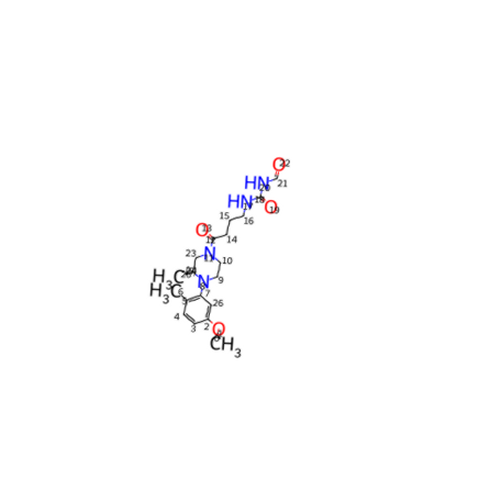 COc1ccc(C)c(N2CCN(C(=O)CCCNC(=O)NC=O)C[C@@H]2C)c1